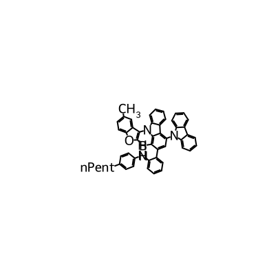 CCCCCc1ccc(Nc2ccccc2-c2cc(-n3c4ccccc4c4ccccc43)c3c4ccccc4n4c3c2Bc2oc3ccc(C)cc3c2-4)cc1